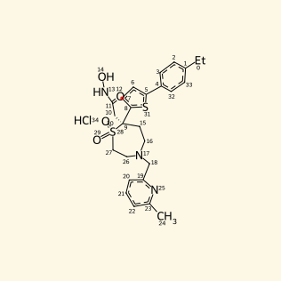 CCc1ccc(-c2ccc([C@@]3(CC(=O)NO)CCN(Cc4cccc(C)n4)CCS3(=O)=O)s2)cc1.Cl